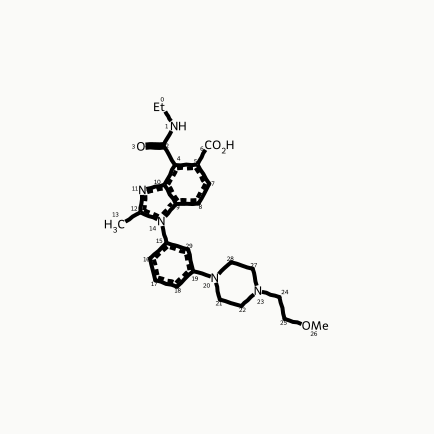 CCNC(=O)c1c(C(=O)O)ccc2c1nc(C)n2-c1cccc(N2CCN(CCOC)CC2)c1